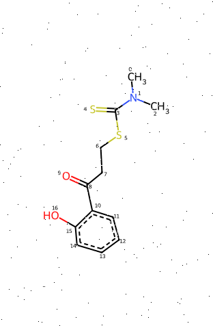 CN(C)C(=S)SCCC(=O)c1ccccc1O